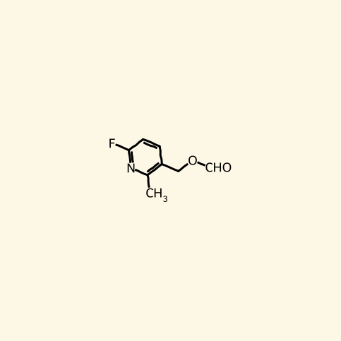 Cc1nc(F)ccc1COC=O